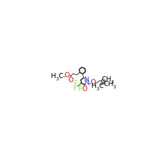 CCOC(=O)CCc1ccccc1-c1cc(C(F)(F)F)c(=O)n(COCC[Si](C)(C)C)n1